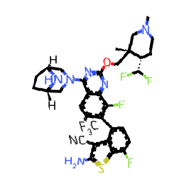 CN1CC[C@H](C(F)F)[C@](C)(COc2nc(N3C[C@H]4CC[C@@H](C3)N4)c3cc(C(F)(F)F)c(-c4ccc(F)c5sc(N)c(C#N)c45)c(F)c3n2)C1